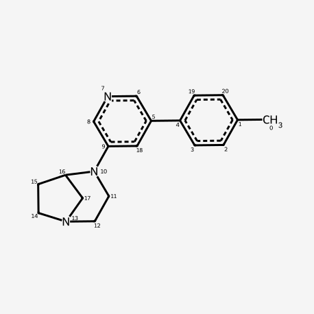 Cc1ccc(-c2cncc(N3CCN4CCC3C4)c2)cc1